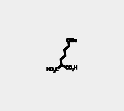 COCCCCC(C(=O)O)C(=O)O